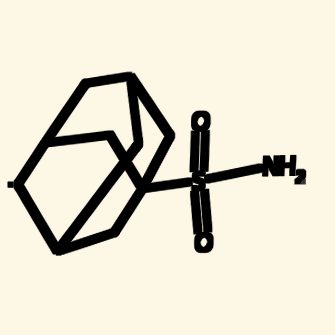 NS(=O)(=O)C12CC3[CH]C(CC(C3)C1)C2